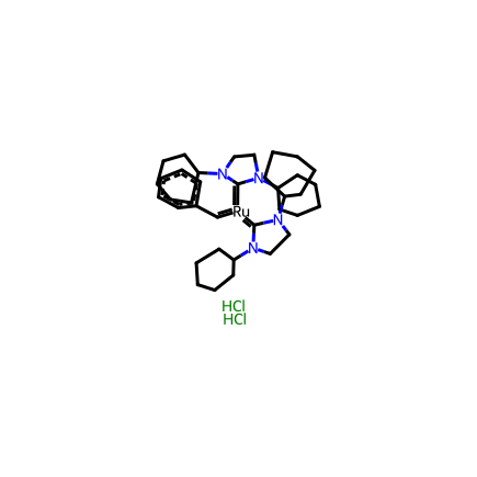 Cl.Cl.[CH](c1ccccc1)=[Ru](=[C]1N(C2CCCCC2)CCN1C1CCCCC1)=[C]1N(C2CCCCC2)CCN1C1CCCCC1